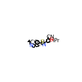 CC(C)Oc1ccc(-c2ncc(-c3cccc4c3CCC43CCN(CC4(C(=O)O)CC4)C3)s2)cc1C#N